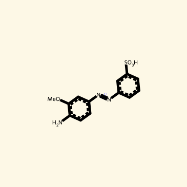 COc1cc(/N=N/c2cccc(S(=O)(=O)O)c2)ccc1N